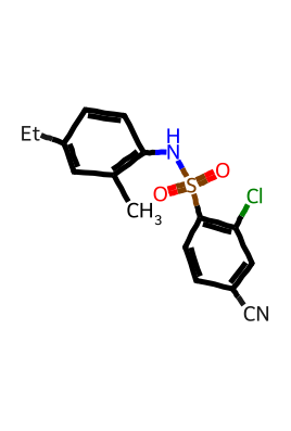 CCc1ccc(NS(=O)(=O)c2ccc(C#N)cc2Cl)c(C)c1